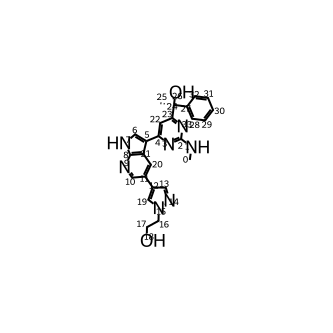 CNc1nc(-c2c[nH]c3ncc(-c4cnn(CCO)c4)cc23)cc([C@@](C)(O)c2ccccc2)n1